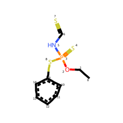 CCOP(=S)(NC=S)Sc1ccccc1